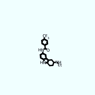 CCNC1CCc2[nH]c3ccc(NC(=O)c4ccc(C(F)(F)F)cc4)cc3c2C1